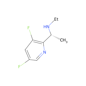 CCN[C@H](C)c1ncc(F)cc1F